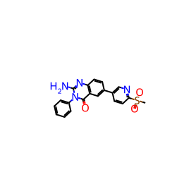 CS(=O)(=O)c1ccc(-c2ccc3nc(N)n(-c4ccccc4)c(=O)c3c2)cn1